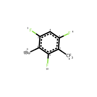 CC(C)(C)c1c(F)cc(F)c(C(F)(F)F)c1F